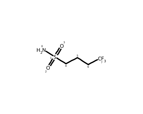 NS(=O)(=O)CCCC(F)(F)F